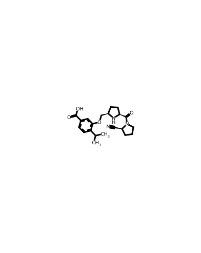 CC(C)c1ccc(C(=O)O)cc1OC[C@H]1CC[C@@H](C(=O)N2CCC[C@H]2C#N)N1